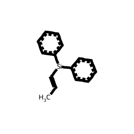 CC=C[Si](c1ccccc1)c1ccccc1